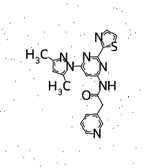 Cc1cc(C)n(-c2cc(NC(=O)Cc3cccnc3)nc(-c3nccs3)n2)n1